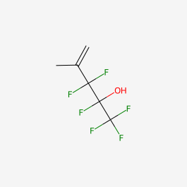 C=C(C)C(F)(F)C(O)(F)C(F)(F)F